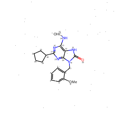 COc1ccccc1Cn1c(=O)[nH]c2c(N[C]=O)nc(C3CCCC3)nc21